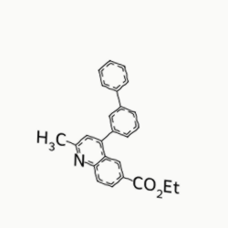 CCOC(=O)c1ccc2nc(C)cc(-c3cccc(-c4ccccc4)c3)c2c1